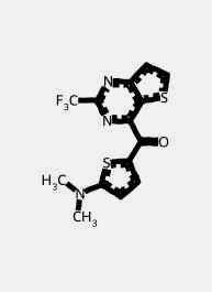 CN(C)c1ccc(C(=O)c2nc(C(F)(F)F)nc3ccsc23)s1